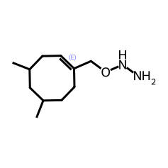 CC1C/C=C(/CONN)CCC(C)C1